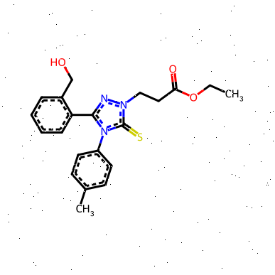 CCOC(=O)CCn1nc(-c2ccccc2CO)n(-c2ccc(C)cc2)c1=S